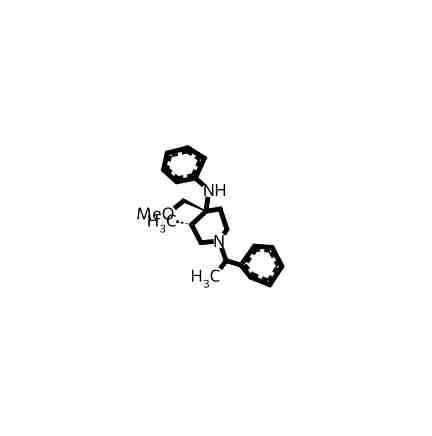 COC[C@@]1(Nc2ccccc2)CCN(C(C)c2ccccc2)C[C@@H]1C